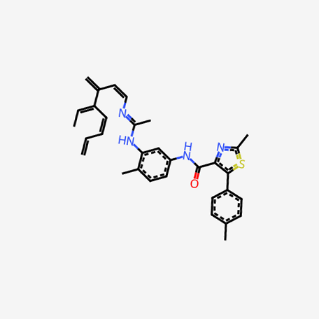 C=C/C=C\C(=C/C)C(=C)/C=C\N=C(/C)Nc1cc(NC(=O)c2nc(C)sc2-c2ccc(C)cc2)ccc1C